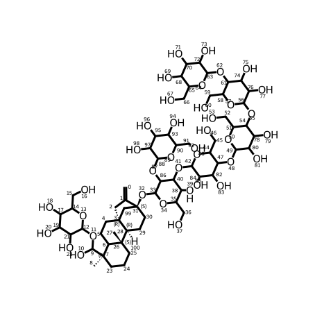 C=C1C[C@@]23CCC4[C@](C)(C(O)OC5OC(CO)C(O)C(O)C5O)CCC[C@@]4(C)[C@@H]2CC[C@]1(OC1OC(CO)C(O)C(OC2OC(CO)C(OC4OC(CO)C(OC5OC(CO)C(OC6OC(CO)C(O)C(O)C6O)C(O)C5O)C(O)C4O)C(O)C2O)C1OC1OC(CO)C(O)C(O)C1O)C3